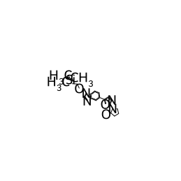 C[Si](C)(C)CCOCn1cnc2cc(-c3cnc(N4CCCC4=O)o3)ccc21